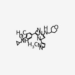 Cc1cc(-c2cnn3c(NCC4CCOCC4)cc(-c4ccnn4C)nc23)ccc1C(=O)NC1CC1